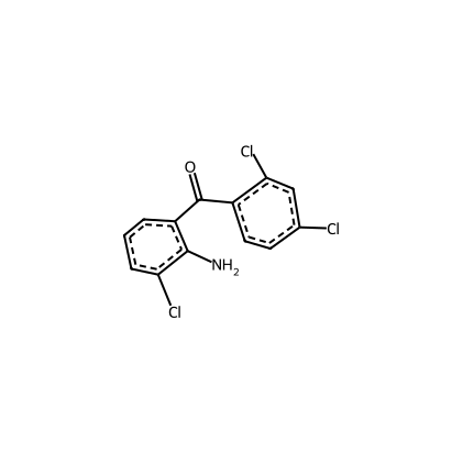 Nc1c(Cl)cccc1C(=O)c1ccc(Cl)cc1Cl